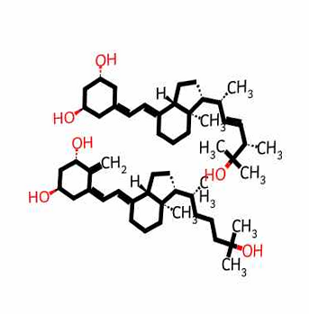 C=C1/C(=C\C=C2/CCC[C@]3(C)[C@@H]([C@H](C)CCCC(C)(C)O)CC[C@@H]23)C[C@@H](O)C[C@@H]1O.C[C@H](/C=C/[C@H](C)C(C)(C)O)[C@H]1CC[C@H]2/C(=C/C=C3C[C@@H](O)C[C@H](O)C3)CCC[C@]12C